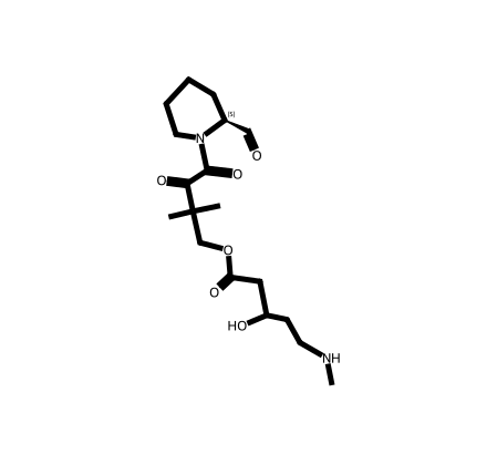 CNCCC(O)CC(=O)OCC(C)(C)C(=O)C(=O)N1CCCC[C@H]1C=O